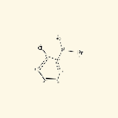 CC(C)C([O])c1ccccc1Cl